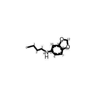 CCCCNc1ccc2c(c1)OCO2